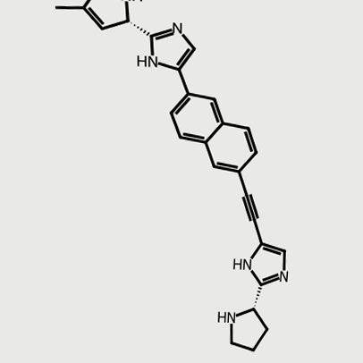 CC1=C[C@@H](c2ncc(-c3ccc4cc(C#Cc5cnc([C@@H]6CCCN6)[nH]5)ccc4c3)[nH]2)NC1